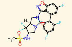 CS(=O)(=O)N[C@@H]1CN2C(=O)N(c3noc4cc(F)cc(-c5c(F)cc(F)cc5F)c34)C[C@@H]2C1(F)F